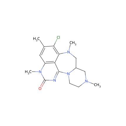 Cc1cc2c3c(nc(=O)n2C)N2CCN(C)CC2CN(C)c3c1Cl